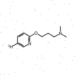 [2H]c1ccc(OCCCN(C)C)nc1